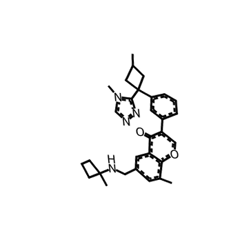 Cc1cc(CNC2(C)CCC2)cc2c(=O)c(-c3cccc(C4(c5nncn5C)CC(C)C4)c3)coc12